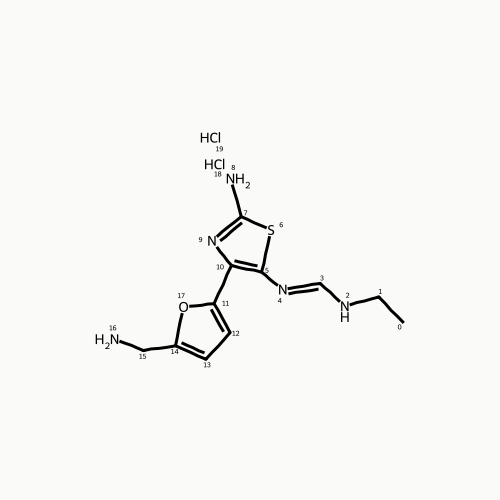 CCNC=Nc1sc(N)nc1-c1ccc(CN)o1.Cl.Cl